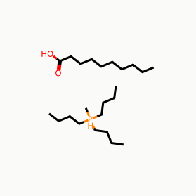 CCCCCCCCCC(=O)O.CCCC[PH](C)(CCCC)CCCC